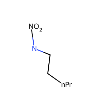 CCCCC[N-][N+](=O)[O-]